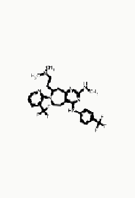 CNc1nc2c(c(Nc3ccc(C(F)(F)F)cc3)n1)CCN(c1ncccc1C(F)(F)F)C(CCN(C)C)C2